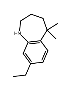 CCc1ccc2c(c1)NCCCC2(C)C